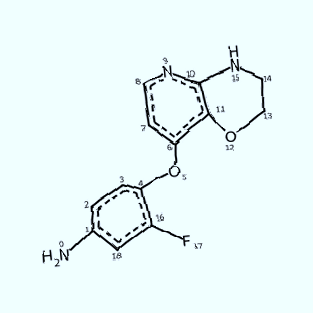 Nc1ccc(Oc2ccnc3c2OCCN3)c(F)c1